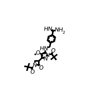 COc1c(C2CN(C(=O)C(C)(C)C)C2=O)nn(C(=O)C(C)(C)C)c1NCc1ccc(C(=N)N)cc1